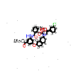 COC(=O)c1cc(NC(=O)c2ccccc2)cc(Oc2ccc3c(c2)C[C@@H](N(C[C@@H](O)c2cccc(Cl)c2)C(=O)OC(C)(C)C)CC3)c1